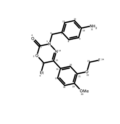 CCC1OC(=O)N(Cc2ccc(N)cc2)N=C1c1ccc(OC)c(OCF)c1